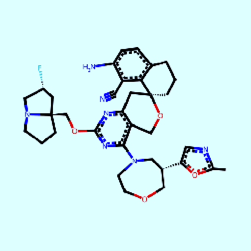 Cc1ncc([C@@H]2COCCN(c3nc(OC[C@@]45CCCN4C[C@H](F)C5)nc4c3CO[C@@]3(CCCc5ccc(N)c(C#N)c53)C4)C2)o1